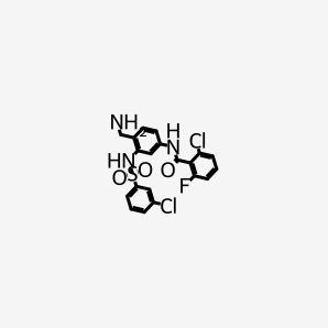 NCc1ccc(NC(=O)c2c(F)cccc2Cl)cc1NS(=O)(=O)c1cccc(Cl)c1